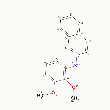 COc1cccc(Nc2ccc3ccccc3c2)c1OC